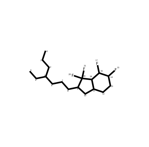 CCCC(CC)CCCC1CC2CCC(F)C(F)C2C1(F)F